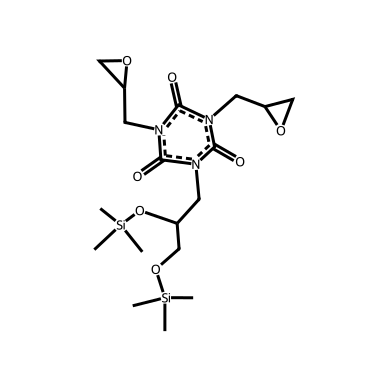 C[Si](C)(C)OCC(Cn1c(=O)n(CC2CO2)c(=O)n(CC2CO2)c1=O)O[Si](C)(C)C